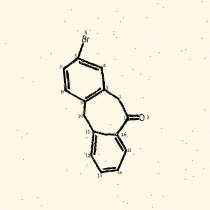 O=C1Cc2cc(Br)ccc2Cc2ccccc21